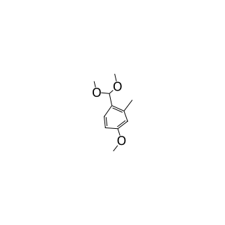 COc1ccc(C(OC)OC)c(C)c1